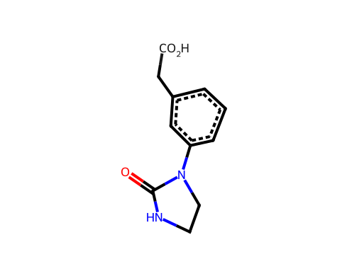 O=C(O)Cc1cccc(N2CCNC2=O)c1